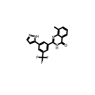 Cc1cccc2c(=O)[nH]c(-c3cc(-c4ccn[nH]4)cc(C(F)(F)F)c3)nc12